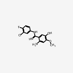 COc1cc(N)c(C(=N)Nc2ccc(F)c(Cl)c2)cc1O